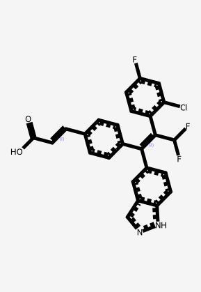 O=C(O)/C=C/c1ccc(/C(=C(\c2ccc(F)cc2Cl)C(F)F)c2ccc3[nH]ncc3c2)cc1